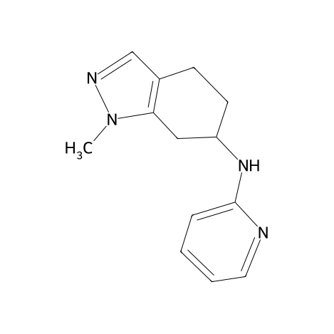 Cn1ncc2c1CC(Nc1ccccn1)CC2